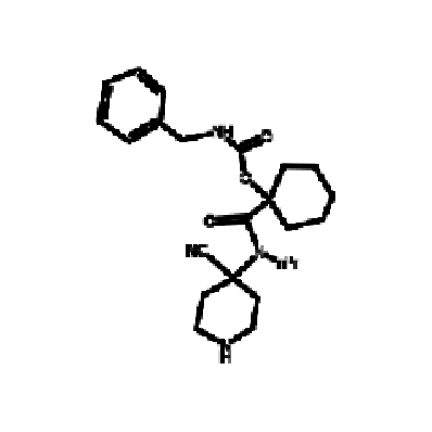 CCCN(C(=O)C1(OC(=O)NCc2ccccc2)CCCCC1)C1(C#N)CCNCC1